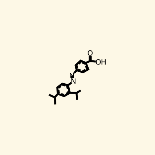 CC(C)c1ccc(N=Nc2ccc(C(=O)O)cc2)c(C(C)C)c1